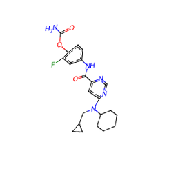 NC(=O)Oc1ccc(NC(=O)c2cc(N(CC3CC3)C3CCCCC3)ncn2)cc1F